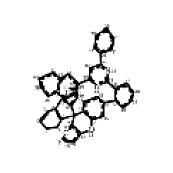 C1=CC2=C(CC1)C1(c3ccccc3Oc3cc(-c4ccccc4-c4nc(-c5ccccc5)cc(-c5ccc6ccccc6c5)n4)ccc31)c1ccccc12